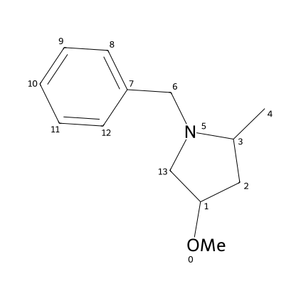 COC1CC(C)N(Cc2ccccc2)C1